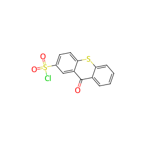 O=c1c2ccccc2sc2ccc(S(=O)(=O)Cl)cc12